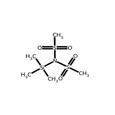 C[Si](C)(C)N(S(C)(=O)=O)S(C)(=O)=O